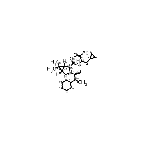 CC(=O)C(=O)C(CC1CC1)NC(=O)[C@@H]1[C@@H]2[C@H](CN1C(=O)[C@@H](C)C1CCCCC1)C2(C)C